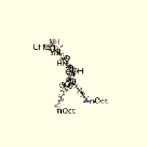 CCCCCCCC/C=C\CCCCCCCC(=O)OC[C@H](COP(=O)(O)OCCNC(=O)CCCOc1ccc(C=O)c(N)c1)OC(=O)CCCCCCC/C=C\CCCCCCCC